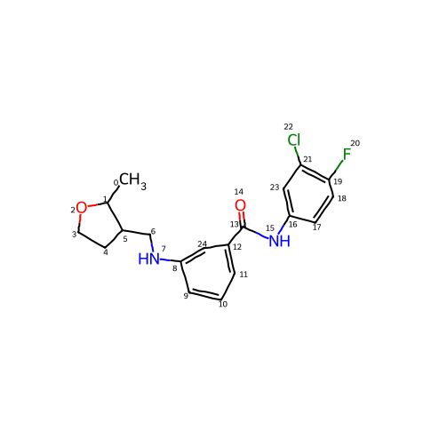 CC1OCCC1CNc1cccc(C(=O)Nc2ccc(F)c(Cl)c2)c1